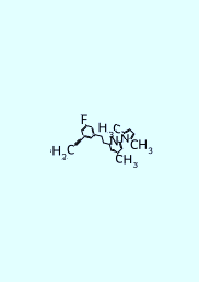 [CH2]C#Cc1cc(F)cc(CCc2cc(C)cc(-n3c(C)ccc3C)n2)c1